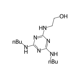 CCCCNc1nc(NCCO)nc(NCCCC)n1